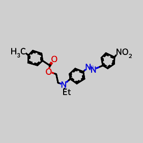 CCN(CCOC(=O)c1ccc(C)cc1)c1ccc(/N=N/c2ccc([N+](=O)[O-])cc2)cc1